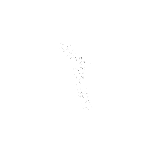 O=C(Nc1ccc(N2CCC(S(=O)(=O)NCc3ccccc3)CC2)nc1)c1oc(N2CCC(c3ccccc3)CC2)nc1C(F)(F)F